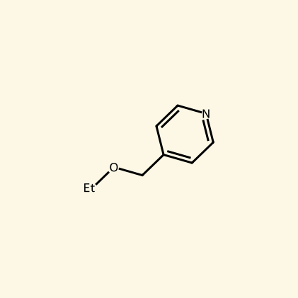 [CH2]COCc1ccncc1